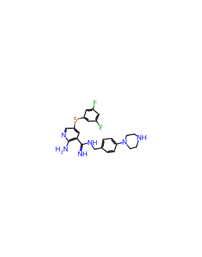 N=C(NCc1ccc(N2CCNCC2)cc1)c1cc(Sc2cc(F)cc(F)c2)cnc1N